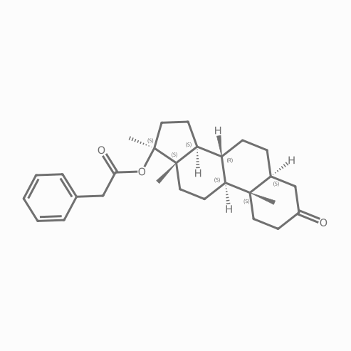 C[C@]12CCC(=O)C[C@@H]1CC[C@@H]1[C@@H]2CC[C@@]2(C)[C@H]1CC[C@]2(C)OC(=O)Cc1ccccc1